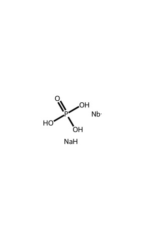 O=P(O)(O)O.[NaH].[Nb]